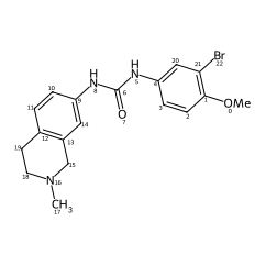 COc1ccc(NC(=O)Nc2ccc3c(c2)CN(C)CC3)cc1Br